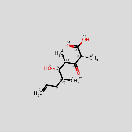 C=CC[C@H](C)[C@H](O)[C@@H](C)C(=O)[C@@H](C)C(=O)O